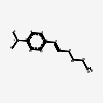 CN(C)c1ccc(C=CCCCN)cc1